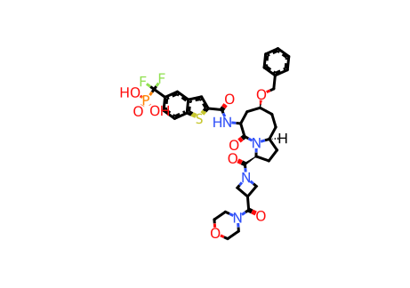 O=C(NC1C[C@@H](OCc2ccccc2)CC[C@H]2CC[C@@H](C(=O)N3CC(C(=O)N4CCOCC4)C3)N2C1=O)c1cc2cc(C(F)(F)P(=O)(O)O)ccc2s1